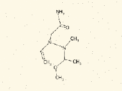 C=CN(CC(N)=O)N(C)C(C)OC